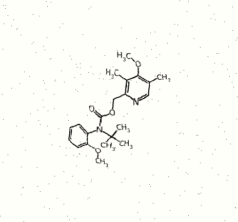 COc1ccccc1N(C(=O)OCc1ncc(C)c(OC)c1C)C(C)(C)C